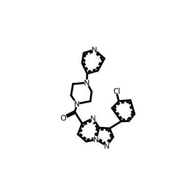 O=C(c1ccn2ncc(-c3cccc(Cl)c3)c2n1)N1CCN(c2ccncc2)CC1